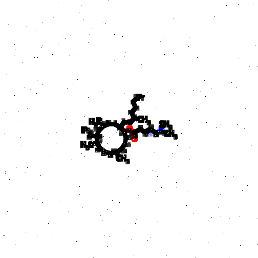 CC(C)CCCC(C)CCC1CCC(C)CC(CC(C)C)C(C)CCCC(C)CCCC1OC(=O)C/C=C/CN(C)C